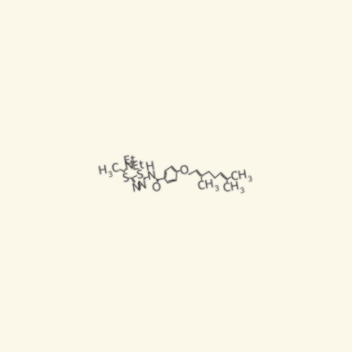 CCN(CC)C(C)Sc1nnc(NC(=O)c2ccc(OC/C=C(\C)CCC=C(C)C)cc2)s1